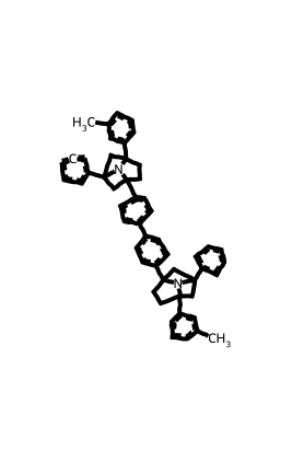 Cc1cccc(C23CCC4(c5ccc(-c6ccc(C78CCC9(c%10cccc(C)c%10)CC(c%10ccccc%10)(C7)N89)cc6)cc5)CC(c5ccccc5)(C2)N43)c1